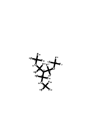 FC(F)(F)OC(F)(F)C(C(F)(F)OC(F)(F)F)C(F)(F)OC(F)(F)F